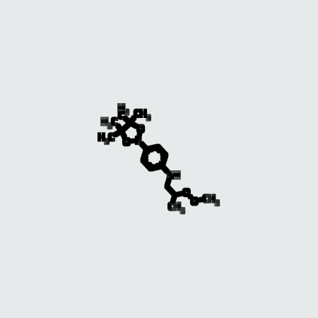 COOC(C)CNc1ccc(P2OC(C)(C)C(C)(C)O2)cc1